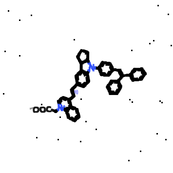 O=C([O-])C[n+]1ccc(/C=C/c2ccc3c(c2)C2CCCC2N3c2ccc(C=C(c3ccccc3)c3ccccc3)cc2)c2ccccc21